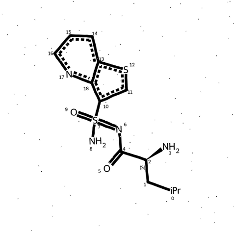 CC(C)C[C@H](N)C(=O)N=S(N)(=O)c1csc2cccnc12